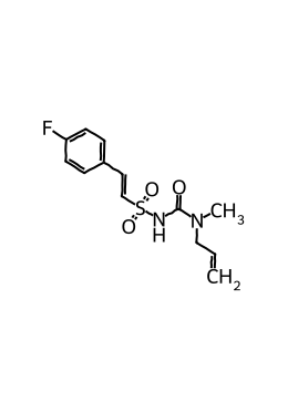 C=CCN(C)C(=O)NS(=O)(=O)C=Cc1ccc(F)cc1